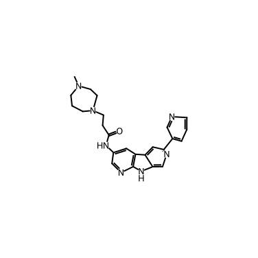 CN1CCCN(CCC(=O)Nc2cnc3[nH]c4cnc(-c5cccnc5)cc4c3c2)CC1